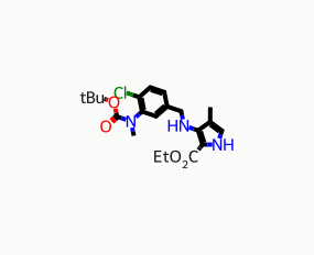 CCOC(=O)c1[nH]cc(C)c1NCc1ccc(Cl)c(N(C)C(=O)OC(C)(C)C)c1